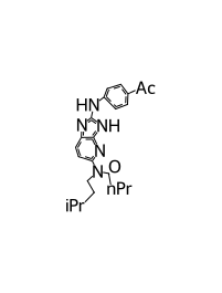 CCCC(=O)N(CCC(C)C)c1ccc2nc(Nc3ccc(C(C)=O)cc3)[nH]c2n1